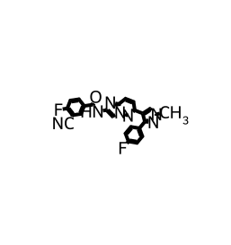 Cn1cc(-c2ccc3nc(NC(=O)c4ccc(F)c(C#N)c4)cn3n2)c(-c2ccc(F)cc2)n1